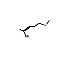 CNCCC=C(C)N